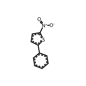 O=[N+]([O-])c1ccc(-c2c[c]ccc2)s1